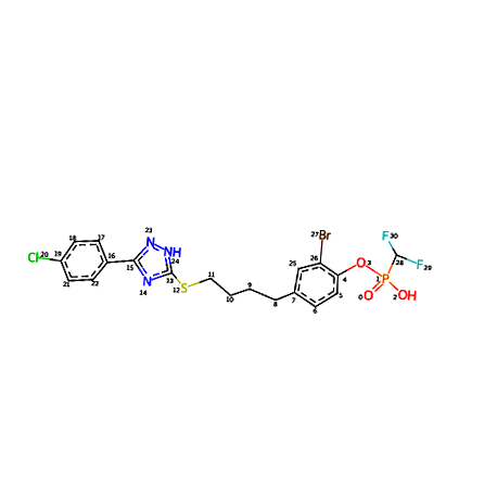 O=P(O)(Oc1ccc(CCCCSc2nc(-c3ccc(Cl)cc3)n[nH]2)cc1Br)C(F)F